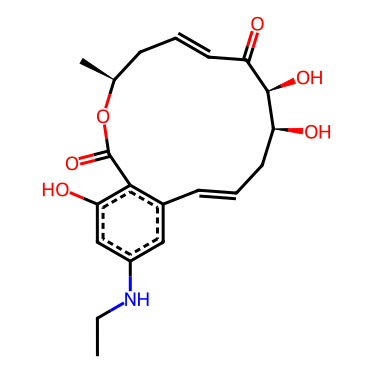 CCNc1cc(O)c2c(c1)/C=C/C[C@H](O)[C@H](O)C(=O)/C=C/C[C@H](C)OC2=O